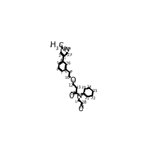 Cn1cc(-c2cccc(CCOCCC(=O)N(CC=O)C3CCCCC3)c2)cn1